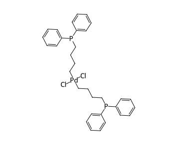 [Cl][Pd]([Cl])([CH2]CCCP(c1ccccc1)c1ccccc1)[CH2]CCCP(c1ccccc1)c1ccccc1